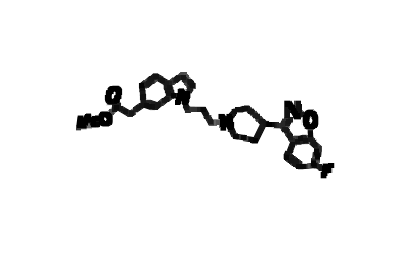 COC(=O)Cc1ccc2ccn(CCCN3CCC(c4noc5cc(F)ccc45)CC3)c2c1